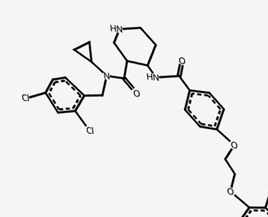 O=C(NC1CCNCC1C(=O)N(Cc1ccc(Cl)cc1Cl)C1CC1)c1ccc(OCCOc2c(Cl)cccc2Cl)cc1